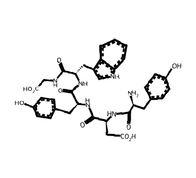 N[C@@H](Cc1ccc(O)cc1)C(=O)N[C@@H](CC(=O)O)C(=O)N[C@@H](Cc1ccc(O)cc1)C(=O)N[C@@H](Cc1c[nH]c2ccccc12)C(=O)NCC(=O)O